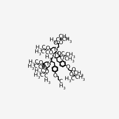 CCCOc1ccc(CC(CN(CCN(CC(=O)OC(C)(C)C)CC(=O)OC(C)(C)C)C(Cc2ccc(OCC(=O)OC(C)(C)C)cc2)C(=O)OC(C)(C)C)N(CC(=O)OC(C)(C)C)CC(=O)OC(C)(C)C)cc1